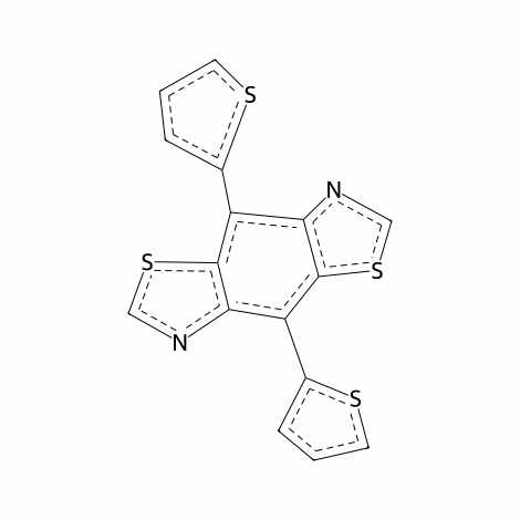 c1csc(-c2c3ncsc3c(-c3cccs3)c3ncsc23)c1